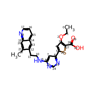 CCOc1cc(-c2cc(NCCc3cc4cccnc4cc3C)ncn2)sc1C(=O)O